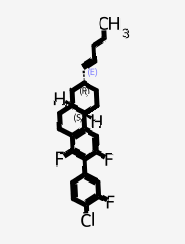 CCC/C=C/[C@@H]1CC[C@@H]2c3cc(F)c(-c4ccc(Cl)c(F)c4)c(F)c3CC[C@@H]2C1